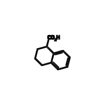 O=C(O)C1CCCc2ccccc21